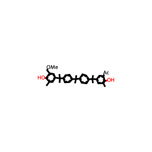 COCc1cc(C(C)(C)c2ccc(C(C)(C)c3ccc(C(C)(C)c4cc(C)c(O)c(C(C)=O)c4)cc3)cc2)cc(C)c1O